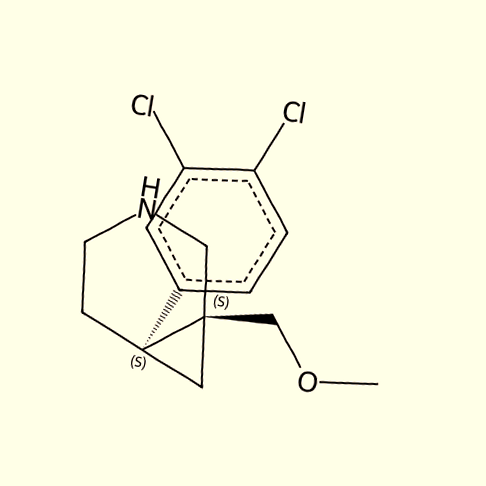 COC[C@]12CNCC[C@]1(c1ccc(Cl)c(Cl)c1)C2